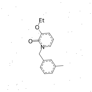 CCOc1cccn(Cc2cccc(C)c2)c1=O